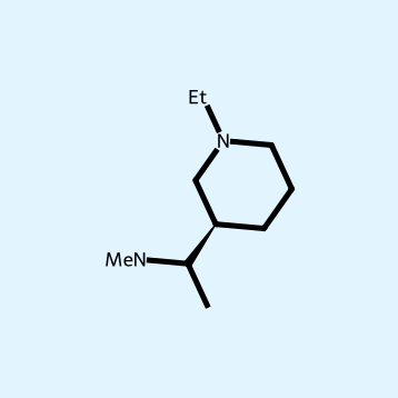 CCN1CCC[C@@H](C(C)NC)C1